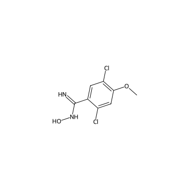 COc1cc(Cl)c(C(=N)NO)cc1Cl